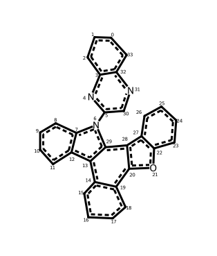 c1ccc2nc(-n3c4ccccc4c4c5ccccc5c5oc6ccccc6c5c43)cnc2c1